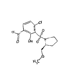 COC[C@@H]1CCCN1S(=O)(=O)c1c(Cl)ccc([N+](=O)[O-])c1O